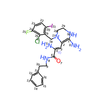 NC1=C(/C=C(\N)C(=O)NCCc2ccccc2)N(Cc2c(I)ccc(F)c2Cl)CCN1